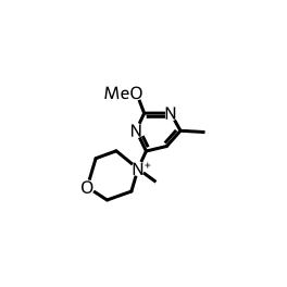 COc1nc(C)cc([N+]2(C)CCOCC2)n1